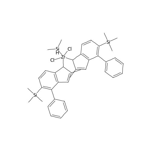 CC1=Cc2c(ccc([Si](C)(C)C)c2-c2ccccc2)[CH]1[Zr]([Cl])([Cl])([CH]1C(C)=Cc2c1ccc([Si](C)(C)C)c2-c1ccccc1)[SiH](C)C